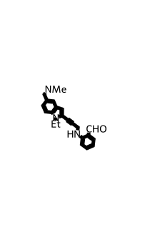 CCn1c(C#CCNc2ccccc2C=O)cc2cc(CNC)ccc21